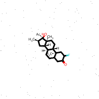 CC(=O)[C@@]1(O)[C@H](C)C[C@H]2[C@@H]3CCC4CC(=O)C(F)C[C@]4(C)[C@H]3CC[C@@]21C